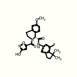 COc1ccc2c(c1)CCN(C(=O)c1cc(O)no1)[C@H]2C(=O)Nc1cc(F)c2c(c1)CCC2(C)C